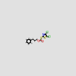 O=C(OCCCc1ccccc1)Sc1nc(Cl)c(Cl)s1